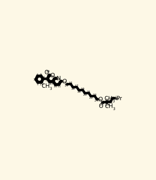 Cc1ccccc1-c1cc2ccc(OCCCCCCCCCCCOC(=O)C(C)(C)CCC(C)C)nc2oc1=O